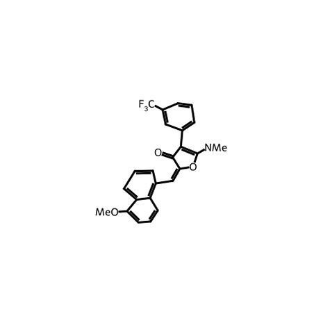 CNC1=C(c2cccc(C(F)(F)F)c2)C(=O)C(=Cc2cccc3c(OC)cccc23)O1